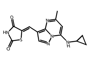 Cc1cc(NC2CC2)n2ncc(/C=C3\SC(=O)NC3=O)c2n1